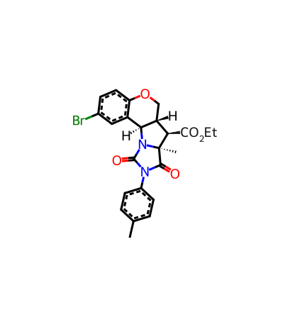 CCOC(=O)[C@@H]1[C@H]2COc3ccc(Br)cc3[C@@H]2N2C(=O)N(c3ccc(C)cc3)C(=O)[C@]12C